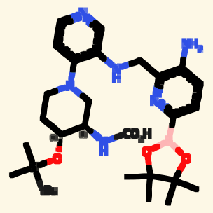 CC1(C)OB(c2ccc(N)c(CNc3cnccc3N3CC[C@@H](O[Si](C)(C)C(C)(C)C)[C@H](NC(=O)O)C3)n2)OC1(C)C